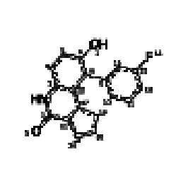 O=c1[nH]c2ccc(O)c(-c3cccc(F)c3)c2c2ccsc12